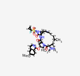 COc1ccc2c(O[C@@H]3C[C@H]4C(=O)N[C@]5(C(=O)NS(=O)(=O)C6(F)CC6)C[C@H]5/C=C\CC[C@@H](C)C[C@@H](C)[C@H](NC(=O)O)C(=O)N4C3)nccc2c1